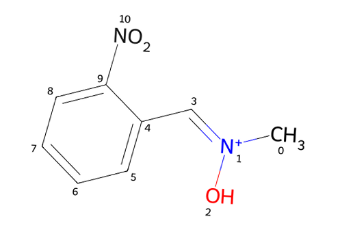 C[N+](O)=Cc1ccccc1[N+](=O)[O-]